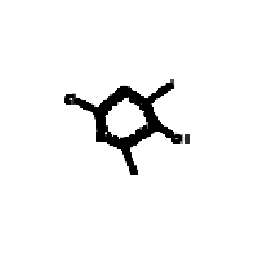 Cc1nc(Cl)cc(I)c1O